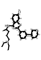 CCN(CC)CCCC(C)Nc1nc(-c2cccc(-c3cccnc3)c2)nc2cc(Cl)ccc12